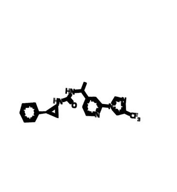 CC(NC(=O)N[C@@H]1C[C@H]1c1ccccc1)c1ccnc(-n2cnc(C(F)(F)F)c2)c1